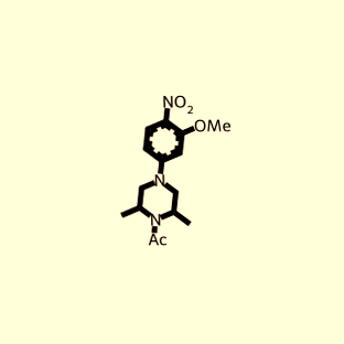 COc1cc(N2CC(C)N(C(C)=O)C(C)C2)ccc1[N+](=O)[O-]